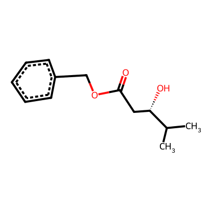 CC(C)[C@@H](O)CC(=O)OCc1ccccc1